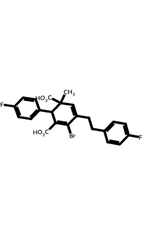 CC1(C(=O)O)C=C(CCc2ccc(F)cc2)C(Br)=C(C(=O)O)C1c1ccc(F)cc1